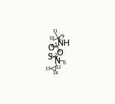 CN(C(=S)OC(=O)NC(C)(C)C)C1CC1